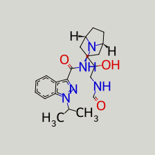 CC(C)n1nc(C(=O)N[C@@H]2C[C@H]3CC[C@@H](C2)N3CC(O)CNC=O)c2ccccc21